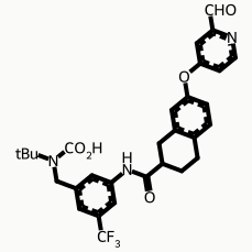 CC(C)(C)N(Cc1cc(NC(=O)C2CCc3ccc(Oc4ccnc(C=O)c4)cc3C2)cc(C(F)(F)F)c1)C(=O)O